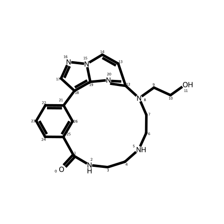 O=C1NCCNCCN(CCO)c2ccn3ncc(c3n2)-c2cccc1c2